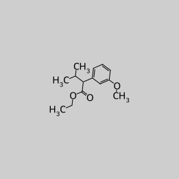 CCOC(=O)C(c1cccc(OC)c1)C(C)C